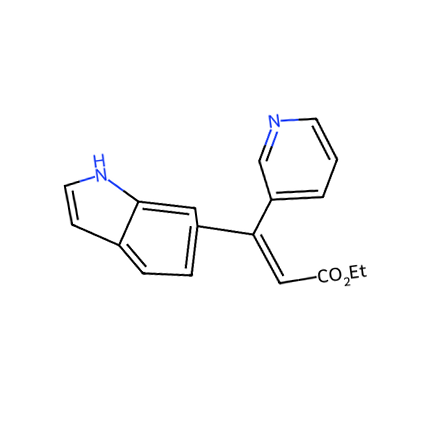 CCOC(=O)C=C(c1cccnc1)c1ccc2cc[nH]c2c1